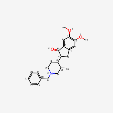 COc1cc2c(cc1OC)C(=O)C(C1CCN(Cc3ccccc3)CC1C)C2